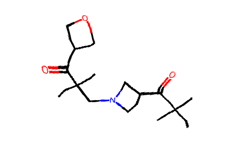 CC(C)(C)C(=O)C1CN(CC(C)(C)C(=O)C2COC2)C1